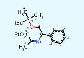 CCOC(=O)/C(=N\[C@@H](CO[Si](C)(C)C(C)(C)C)c1ccccc1)C(F)(F)F